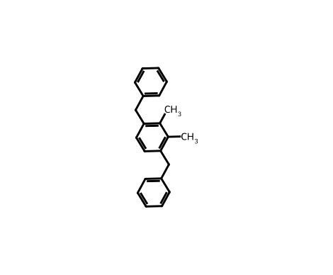 Cc1c(Cc2ccccc2)ccc(Cc2ccccc2)c1C